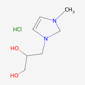 CN1C=CN(CC(O)CO)C1.Cl